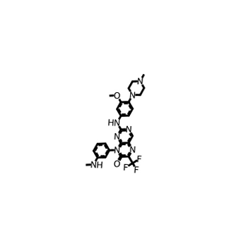 CNc1cccc(-n2c(=O)c(C(F)(F)F)nc3cnc(Nc4ccc(N5CCN(C)CC5)c(OC)c4)nc32)c1